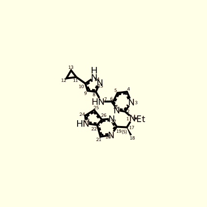 CCN(c1nccc(Nc2cc(C3CC3)[nH]n2)n1)[C@@H](C)c1ncc2[nH]ccc2n1